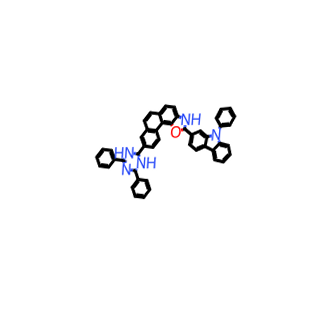 c1ccc(C2=NC(c3ccccc3)NC(c3ccc4c(ccc5ccc6c(c54)OC(c4ccc5c7ccccc7n(-c7ccccc7)c5c4)N6)c3)N2)cc1